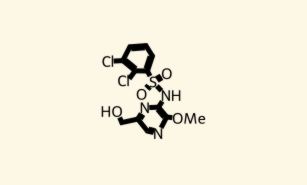 COc1ncc(CO)nc1NS(=O)(=O)c1cccc(Cl)c1Cl